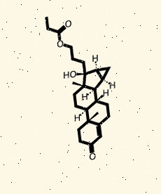 CCC(=O)OCCC[C@]1(O)[C@H]2C[C@H]2[C@H]2[C@@H]3CCC4=CC(=O)CC[C@]4(C)[C@H]3CC[C@@]21C